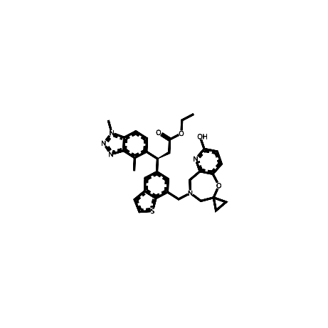 CCOC(=O)C[C@@H](c1cc(CN2Cc3nc(O)ccc3OC3(CC3)C2)c2sccc2c1)c1ccc2c(nnn2C)c1C